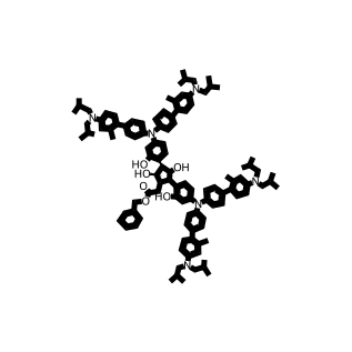 Cc1cc(N(CC(C)C)CC(C)C)ccc1-c1ccc(N(c2ccc(-c3ccc(N(CC(C)C)CC(C)C)cc3C)cc2)c2ccc(C3C(CC(=O)OCc4ccccc4)[C@@H](O)[C@@H](c4ccc(N(c5ccc(-c6ccc(N(CC(C)C)CC(C)C)cc6C)cc5)c5ccc(-c6ccc(N(CC(C)C)CC(C)C)cc6C)cc5)cc4O)C3O)c(O)c2)cc1